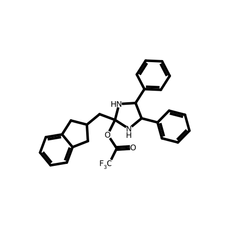 O=C(OC1(CC2Cc3ccccc3C2)NC(c2ccccc2)C(c2ccccc2)N1)C(F)(F)F